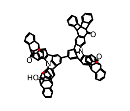 O=C1c2cc3c(cc2C2c4ccccc4C1c1ccccc12)c1cc(-c2cc4c5cc6c(cc5n5c7cc8c(cc7c(c2)c45)C2c4ccccc4C(c4ccccc42)C8O)C(=O)C2c4ccccc4C6c4ccccc42)cc2c4cc5c(cc4n3c12)C(=O)C1c2ccccc2C12c1ccccc1C52